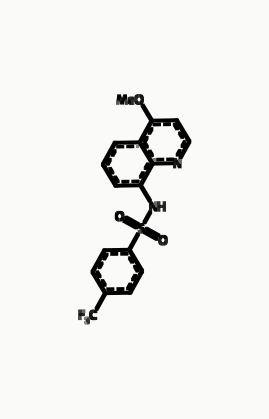 COc1ccnc2c(NS(=O)(=O)c3ccc(C(F)(F)F)cc3)cccc12